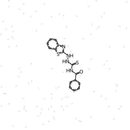 O=C(NC(=S)NNc1nc2ccccc2s1)c1ccccc1